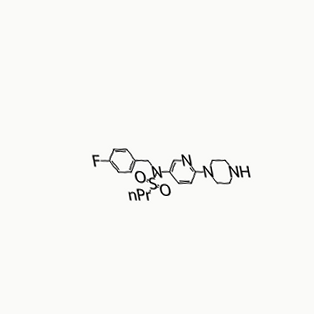 CCCS(=O)(=O)N(Cc1ccc(F)cc1)c1ccc(N2CCNCC2)nc1